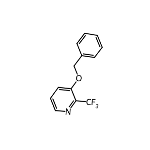 FC(F)(F)c1ncccc1OCc1ccccc1